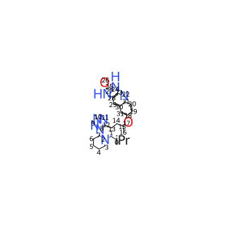 CC(C)CN1CCCCC1n1nnnc1CCC(C)Oc1ccc2nc3[nH]c(=O)[nH]c3cc2c1